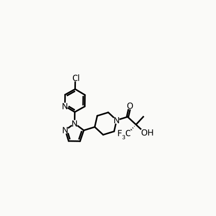 C[C@@](O)(C(=O)N1CCC(c2ccnn2-c2ccc(Cl)cn2)CC1)C(F)(F)F